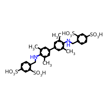 Cc1cc(-c2cc(C)c(NCc3ccc(S(=O)(=O)O)cc3S(=O)(=O)O)c(C)c2)cc(C)c1NCc1ccc(S(=O)(=O)O)cc1S(=O)(=O)O